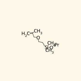 C=C(C)COCCC[Si](C)(C)OC(C)C